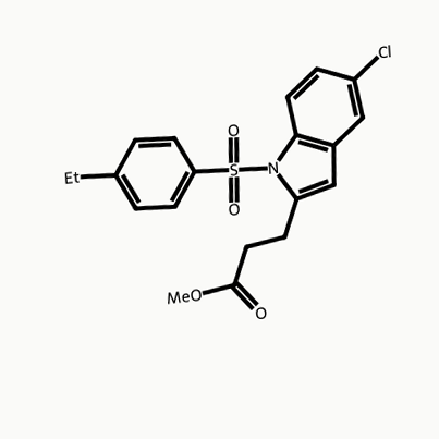 CCc1ccc(S(=O)(=O)n2c(CCC(=O)OC)cc3cc(Cl)ccc32)cc1